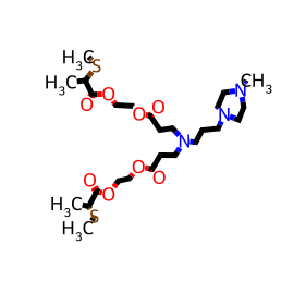 CSC(C)C(=O)OCCOC(=O)CCN(CCCN1CCN(C)CC1)CCC(=O)OCCOC(=O)C(C)SC